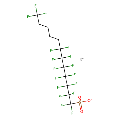 O=S(=O)([O-])C(F)(F)C(F)(F)C(F)(F)C(F)(F)C(F)(F)C(F)(F)C(F)(F)CCCCC(F)(F)F.[K+]